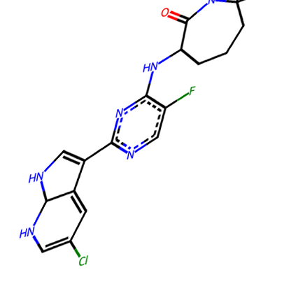 CC1(C)CCCC(Nc2nc(C3=CNC4NC=C(Cl)C=C34)ncc2F)C(=O)N1